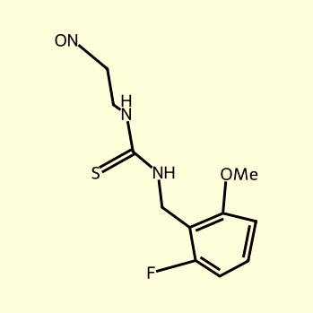 COc1cccc(F)c1CNC(=S)NCCN=O